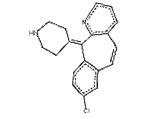 Clc1ccc2c(c1)C=Cc1cccnc1C2=C1CCNCC1